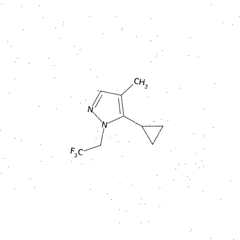 Cc1[c]nn(CC(F)(F)F)c1C1CC1